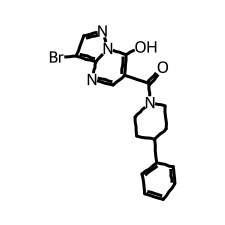 O=C(c1cnc2c(Br)cnn2c1O)N1CCC(c2ccccc2)CC1